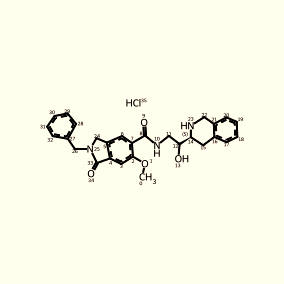 COc1cc2c(cc1C(=O)NCC(O)[C@@H]1Cc3ccccc3CN1)CN(Cc1ccccc1)C2=O.Cl